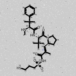 CN[C@H](C(=O)N[C@H](C(=O)N1CCC[C@H]1/C=C(\C)C(=O)NS(=O)(=O)CCCS)C(C)(C)C)C(C)(C)c1ccccc1